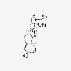 C[C@@H]1C[C@H]2[C@@H]3CCC4=CC(=O)C=C[C@]4(C)C3=CC[C@]2(C)[C@@]1(O)C(=O)CCl